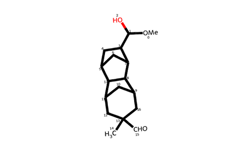 COC(O)C1CC2CC1C1C3CC(CC(C)(C=O)C3)C21